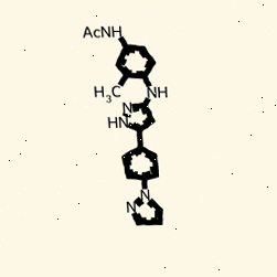 CC(=O)Nc1ccc(Nc2cc(-c3ccc(-n4cccn4)cc3)[nH]n2)c(C)c1